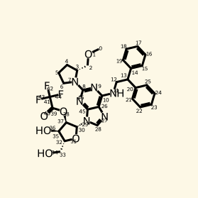 COC[C@H]1CCCN1c1nc(NCC(c2ccccc2)c2ccccc2)c2ncn([C@@H]3O[C@H](CO)[C@@H](O)[C@H]3OC(=O)C(F)(F)F)c2n1